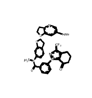 CN(C(=O)c1cccc(-n2nc(C(F)(F)F)c3c2C(=O)CCC3)c1)c1ccc2c(c1)OCC2.CNc1cnc2c(c1)OCC2